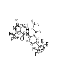 CC(C)CC(C)c1cc(C(C(F)(F)F)C(F)(F)F)ccc1NC(=O)c1c(C(F)(F)F)nn(C)c1Cl